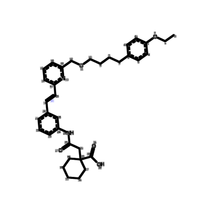 CCOc1ccc(CCCCOCc2cccc(/C=C/c3cccc(NC(=O)CC4(C(=O)O)CCCCC4)c3)n2)cc1